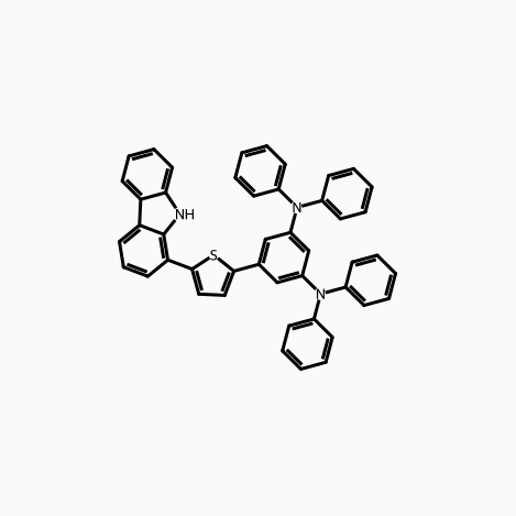 c1ccc(N(c2ccccc2)c2cc(-c3ccc(-c4cccc5c4[nH]c4ccccc45)s3)cc(N(c3ccccc3)c3ccccc3)c2)cc1